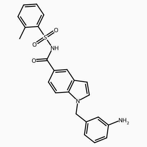 Cc1ccccc1S(=O)(=O)NC(=O)c1ccc2c(ccn2Cc2cccc(N)c2)c1